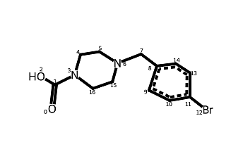 O=C(O)N1CCN(Cc2ccc(Br)cc2)CC1